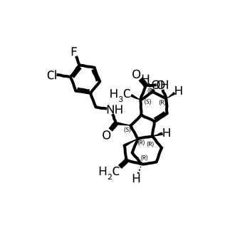 C=C1C[C@]23C[C@H]1CC[C@H]2C1=C[C@H]2OC(=O)[C@@](C)(C1[C@@H]3C(=O)NCc1ccc(F)c(Cl)c1)[C@H]2O